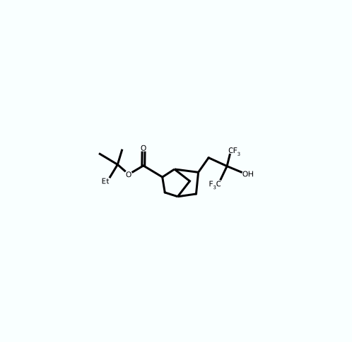 CCC(C)(C)OC(=O)C1CC2CC(CC(O)(C(F)(F)F)C(F)(F)F)C1C2